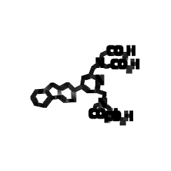 O=C(O)CN(CC(=O)O)Cc1cc(-c2ccc3c(c2)Cc2ccccc2-3)cc(CN(CC(=O)O)CC(=O)O)n1